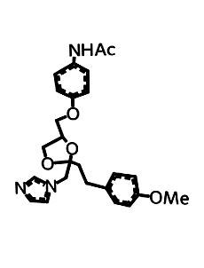 COc1ccc(CCC2(Cn3ccnc3)OCC(COc3ccc(NC(C)=O)cc3)O2)cc1